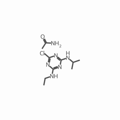 CC(N)=O.CCNc1nc(Cl)nc(NC(C)C)n1